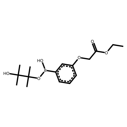 CCOC(=O)COc1cccc(B(O)OC(C)(C)C(C)(C)O)c1